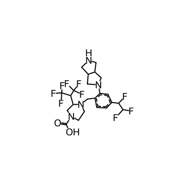 O=C(O)N1CCN(Cc2ccc(C(F)C(F)F)cc2N2CC3CNCC3C2)C(C(C(F)(F)F)C(F)(F)F)C1